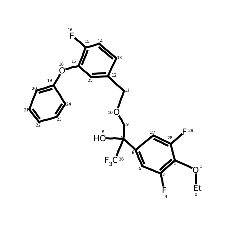 CCOc1c(F)cc(C(O)(COCc2ccc(F)c(Oc3ccccc3)c2)C(F)(F)F)cc1F